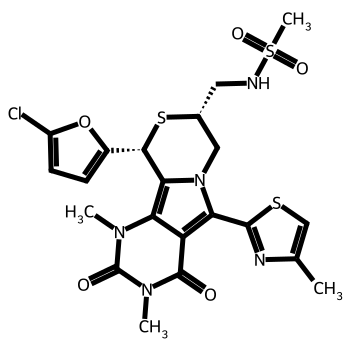 Cc1csc(-c2c3c(=O)n(C)c(=O)n(C)c3c3n2C[C@@H](CNS(C)(=O)=O)S[C@H]3c2ccc(Cl)o2)n1